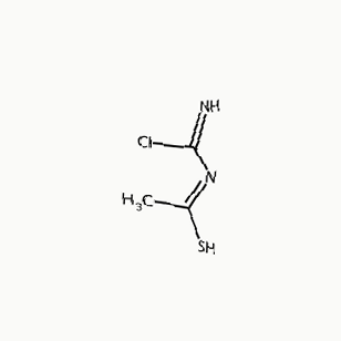 C/C(S)=N\C(=N)Cl